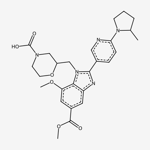 COC(=O)c1cc(OC)c2c(c1)nc(-c1ccc(N3CCCC3C)nc1)n2CC1CN(C(=O)O)CCO1